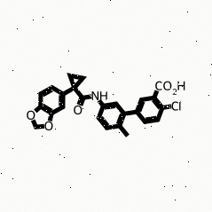 Cc1ccc(NC(=O)C2(c3ccc4c(c3)OCO4)CC2)cc1-c1ccc(Cl)c(C(=O)O)c1